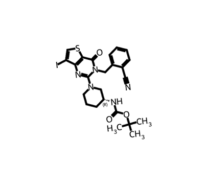 CC(C)(C)OC(=O)N[C@@H]1CCCN(c2nc3c(I)csc3c(=O)n2Cc2ccccc2C#N)C1